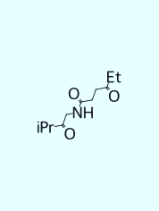 CCC(=O)CCC(=O)NCC(=O)C(C)C